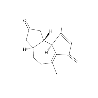 C=C1C=C(C)[C@H]2C1=C(C)CC[C@H]1CC(=O)C[C@@H]12